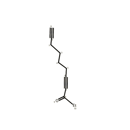 C#CCCCCC#CC(=O)CC